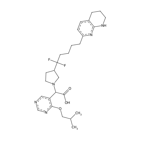 CC(C)COc1ncncc1C(C(=O)O)N1CCC(C(F)(F)CCCCc2ccc3c(n2)NCCC3)C1